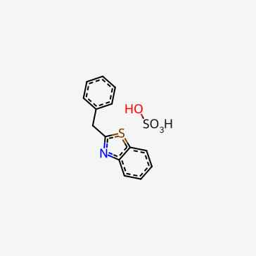 O=S(=O)(O)O.c1ccc(Cc2nc3ccccc3s2)cc1